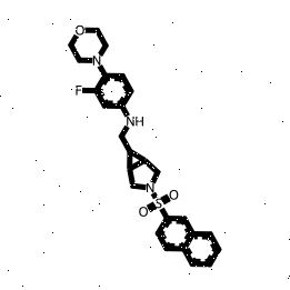 O=S(=O)(c1ccc2ccccc2c1)N1CC2C(CNc3ccc(N4CCOCC4)c(F)c3)C2C1